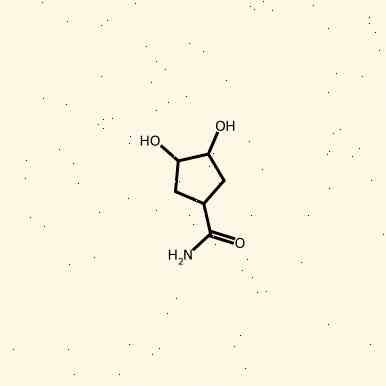 NC(=O)C1CC(O)C(O)C1